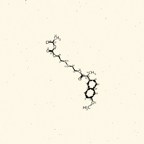 COc1ccc2cc([C@H](C)C(=O)OCCSSCCOC(=O)OC(C)Cl)ccc2c1